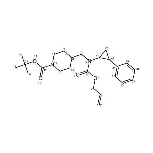 C=CCOC(=O)N(CC1CCN(C(=O)OC(C)(C)C)CC1)C1CC1c1ccccc1